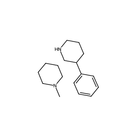 CN1CCCCC1.c1ccc(C2CCCNC2)cc1